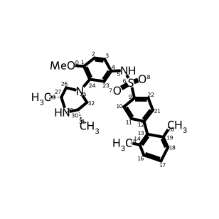 COc1ccc(NS(=O)(=O)c2ccc(-c3c(C)cccc3C)cc2)cc1N1C[C@@H](C)N[C@@H](C)C1